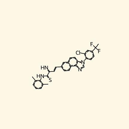 Cc1cccc(C)c1NC(=S)C(=N)/C=C/c1ccc2c(ccc3c2ncn3-c2ccc(C(C)(F)F)cc2Cl)c1